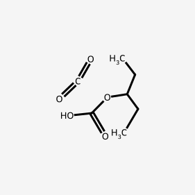 CCC(CC)OC(=O)O.O=C=O